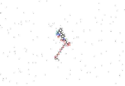 COCCOCCOCCOCCOC(C[C@H]1CN(c2ccc3cc(-c4ccccc4C(F)(F)F)[nH]c(=O)c3c2)C(=O)O1)C(=O)O